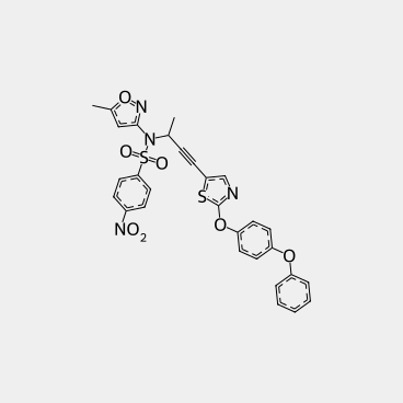 Cc1cc(N(C(C)C#Cc2cnc(Oc3ccc(Oc4ccccc4)cc3)s2)S(=O)(=O)c2ccc([N+](=O)[O-])cc2)no1